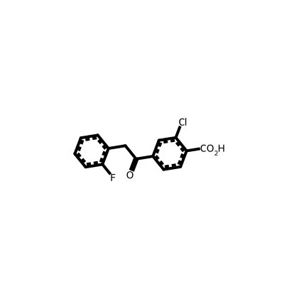 O=C(Cc1ccccc1F)c1ccc(C(=O)O)c(Cl)c1